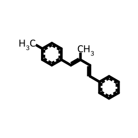 CC(C=Cc1ccccc1)=Cc1ccc(C)cc1